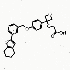 O=C(O)COC1(c2ccc(OCc3cccc(-c4cc5c(s4)CCCC5)c3)cc2)COC1